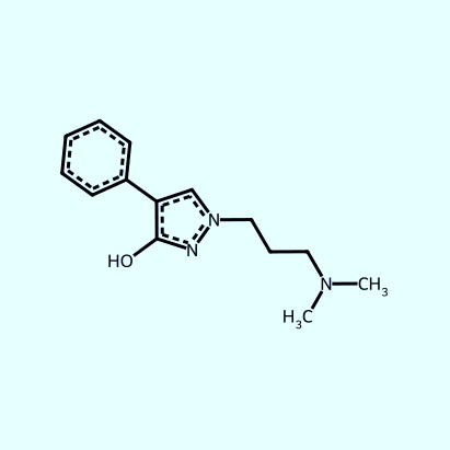 CN(C)CCCn1cc(-c2ccccc2)c(O)n1